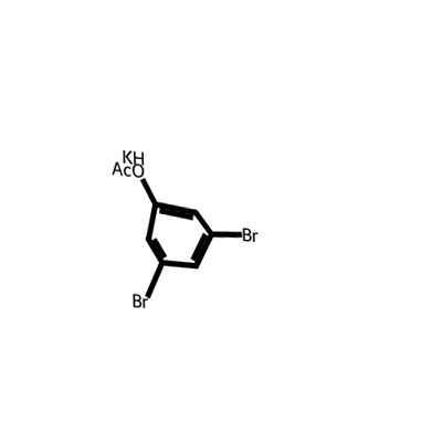 CC(=O)Oc1cc(Br)cc(Br)c1.[KH]